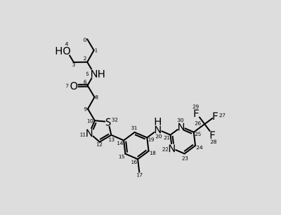 CCC(CO)NC(=O)CCc1ncc(-c2cc(C)cc(Nc3nccc(C(F)(F)F)n3)c2)s1